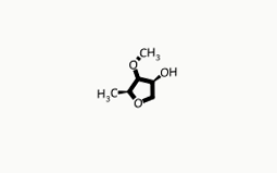 COC1[C@H](C)OC[C@@H]1O